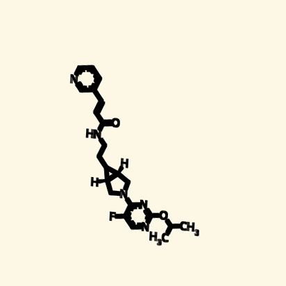 CC(C)Oc1ncc(F)c(N2C[C@@H]3C(CCNC(=O)/C=C/c4cccnc4)[C@@H]3C2)n1